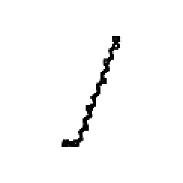 CCOCCOCCOCC[CH]COCCOCCOC